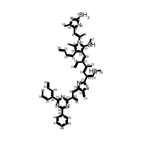 Bc1nc(/C=C(\C)n2c(C)c(/C=C\C=C)c(/C=C(C=C)/C(C)=C/C(=C\BC)c3n/c(=C/C(=C)c4nc(C(/C=C\C)=C/C=C)nc(-c5ccccc5)n4)c(=C)s3)c2BC)c(C)s1